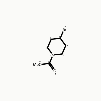 COC(=O)N1CCC(Br)CC1